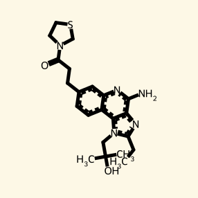 CCc1nc2c(N)nc3cc(CCC(=O)N4CCSC4)ccc3c2n1CC(C)(C)O